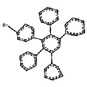 Brc1ccc(-c2c(-c3ccccc3)c(-c3ccccc3)cc(-c3ccccc3)c2-c2ccccc2)cc1